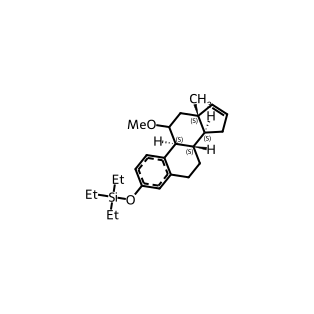 CC[Si](CC)(CC)Oc1ccc2c(c1)CC[C@@H]1[C@@H]2C(OC)C[C@]2(C)C=CC[C@@H]12